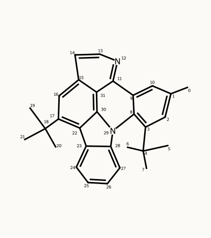 Cc1cc(C(C)(C)C)c2c(c1)c1nccc3cc(C(C)(C)C)c4c5ccccc5n2c4c31